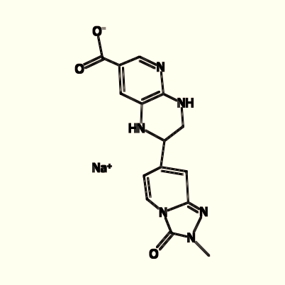 Cn1nc2cc(C3CNc4ncc(C(=O)[O-])cc4N3)ccn2c1=O.[Na+]